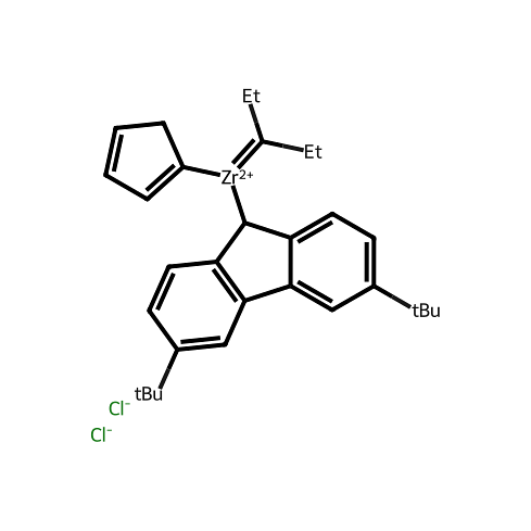 CC[C](CC)=[Zr+2]([C]1=CC=CC1)[CH]1c2ccc(C(C)(C)C)cc2-c2cc(C(C)(C)C)ccc21.[Cl-].[Cl-]